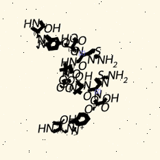 C[n+]1c2ccc(OC[C@H](O/N=C(\C(=O)N[C@@H]3C(=O)N(OS(=O)(=O)ON4C(=O)[C@@H](NC(=O)/C(=N\O[C@@H](COc5ccc6c(c5)cn(C[C@H]5CNC[C@H]5O)[n+]6C)C(=O)O)c5csc(N)n5)C4(C)C)C3(C)C)c3csc(N)n3)C(=O)O)cc2cn1C[C@H]1CNC[C@H]1O